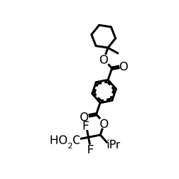 CC(C)C(OC(=O)c1ccc(C(=O)OC2(C)CCCCC2)cc1)C(F)(F)C(=O)O